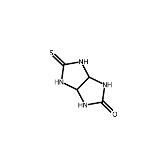 O=C1NC2NC(=S)NC2N1